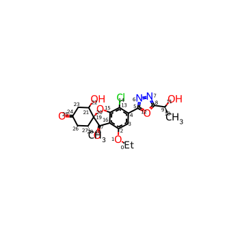 CCOc1cc(-c2nnc([C@H](C)O)o2)c(Cl)c2c1C(=O)[C@@]1(O2)C(O)CC(=O)C[C@H]1C